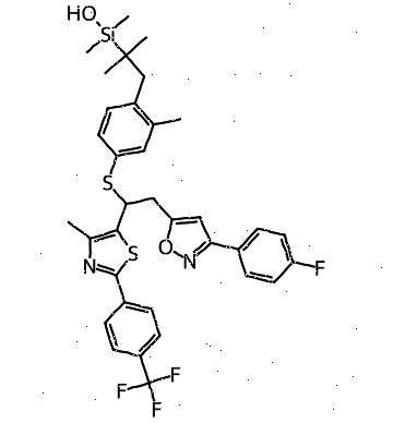 Cc1cc(SC(Cc2cc(-c3ccc(F)cc3)no2)c2sc(-c3ccc(C(F)(F)F)cc3)nc2C)ccc1CC(C)(C)[Si](C)(C)O